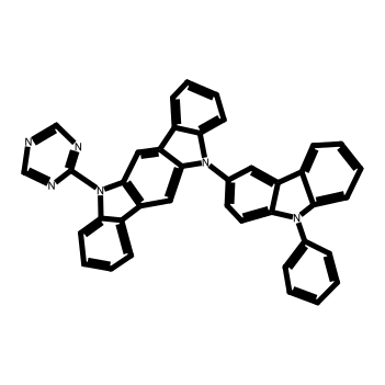 c1ccc(-n2c3ccccc3c3cc(-n4c5ccccc5c5cc6c(cc54)c4ccccc4n6-c4ncncn4)ccc32)cc1